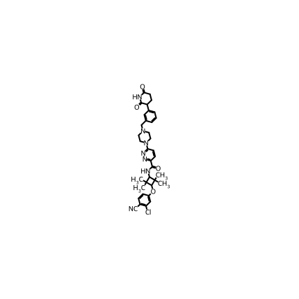 CC1(C)C(NC(=O)c2ccc(N3CCN(Cc4cccc(C5CCC(=O)NC5=O)c4)CC3)nn2)C(C)(C)C1Oc1ccc(C#N)c(Cl)c1